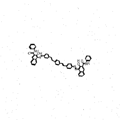 O=C(Nc1ccccc1)c1cc2ccccc2c(N=Nc2ccc(C=Cc3ccc(C=Cc4ccc(N=Nc5c(O)c(C(=O)Nc6ccccc6)cc6ccccc56)cc4)cc3)cc2)c1O